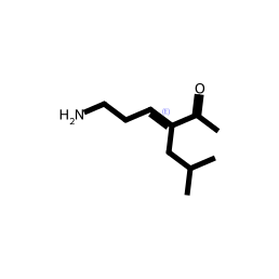 CC(=O)/C(=C/CCN)CC(C)C